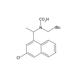 CC(c1cc(Cl)cc2ccccc12)N(CC(C)(C)C)C(=O)O